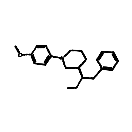 CCC(Cc1ccccc1)C1CCCN(c2ccc(OC)cc2)C1